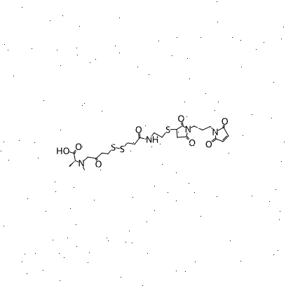 C[C@@H](C(=O)O)N(C)CC(=O)CCSSCCC(=O)NCCSC1CC(=O)N(CCCN2C(=O)C=CC2=O)C1=O